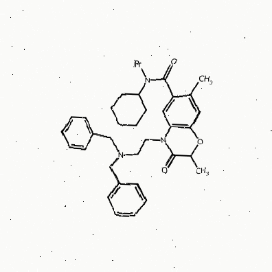 Cc1cc2c(cc1C(=O)N(C(C)C)C1CCCCC1)N(CCN(Cc1ccccc1)Cc1ccccc1)C(=O)C(C)O2